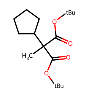 CC(C)(C)OC(=O)C(C)(C(=O)OC(C)(C)C)C1CCCC1